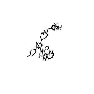 CC1=CCC(n2nc(C3CCN(Cc4cn[nH]c4)CC3)cc2NC(=O)c2cnn3cccnc23)C=C1